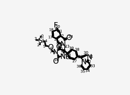 C[Si](C)(C)CCOCN1C(=O)N[C@@](CN2Cc3ccc(F)cc3C2=O)(c2ccc(-c3cnc4ccccn34)cc2)C1=O